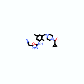 Cc1cc(CN2CCN(C(=O)C3CC3)CC2)c(C)c(Nc2nnc(CC#N)o2)c1